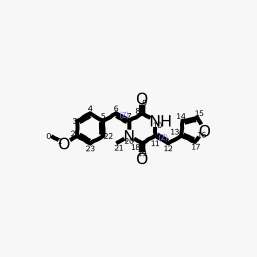 COc1ccc(/C=c2/c(=O)[nH]/c(=C\c3ccoc3)c(=O)n2C)cc1